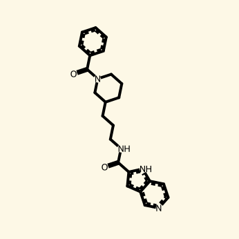 O=C(NCCCC1CCCN(C(=O)c2ccccc2)C1)c1cc2cnccc2[nH]1